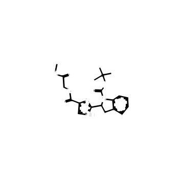 COC(=O)CNC(=O)c1c[nH]c(C2Cc3ccccc3N2C(=O)OC(C)(C)C)n1